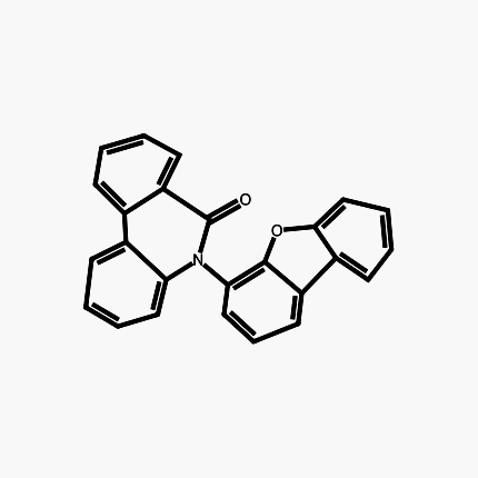 O=c1c2ccccc2c2ccccc2n1-c1cccc2c1oc1ccccc12